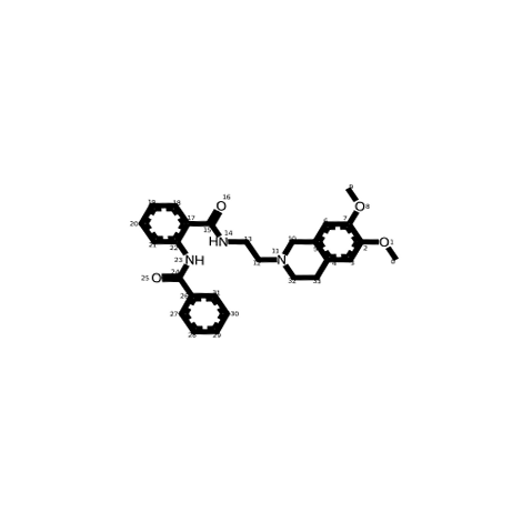 COc1cc2c(cc1OC)CN(CCNC(=O)c1ccccc1NC(=O)c1ccccc1)CC2